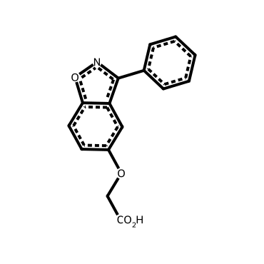 O=C(O)COc1ccc2onc(-c3ccccc3)c2c1